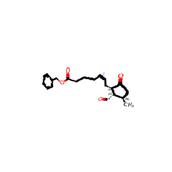 C[C@@H]1CC(=O)[C@H](C/C=C\CCCC(=O)OCc2ccccc2)[C@H]1C=O